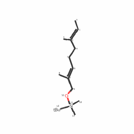 C/C=C(\C)CC/C=C(\C)CO[Si](C)(C)C(C)(C)C